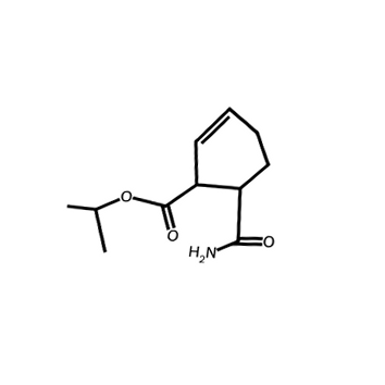 CC(C)OC(=O)C1C=CCCC1C(N)=O